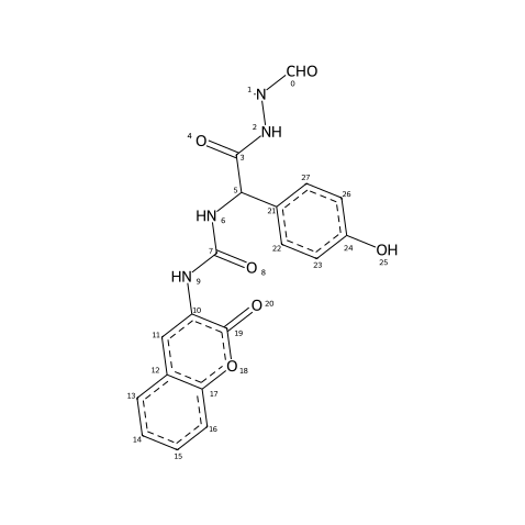 O=C[N]NC(=O)C(NC(=O)Nc1cc2ccccc2oc1=O)c1ccc(O)cc1